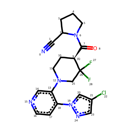 N#CC1CCCN1C(=O)[C@@H]1CCN(c2cnccc2-n2cc(Cl)cn2)CC1(F)F